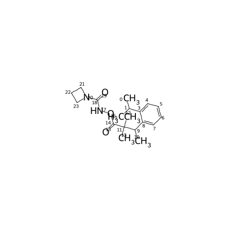 CC(C)c1ccccc1C(C)C(C)(C)C(=O)ONC(=O)N1CCC1